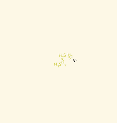 S.S.S.S.[V]